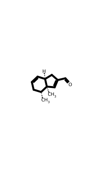 C[C@@H]1CC=C[C@H]2CC(C=O)=C[C@@]12C